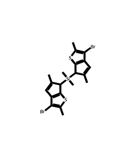 CC1=Cc2c(sc(C)c2Br)C1[Si](C)(C)C1C(C)=Cc2c1sc(C)c2Br